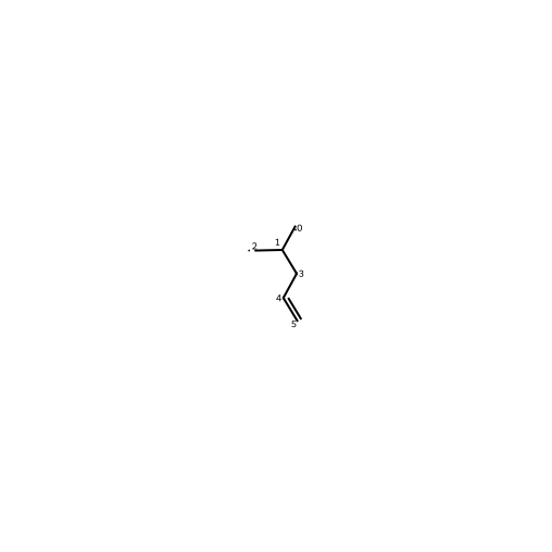 [CH2]C([CH2])CC=C